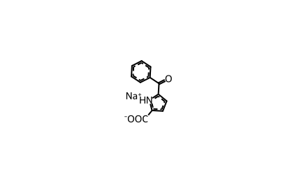 O=C([O-])c1ccc(C(=O)c2ccccc2)[nH]1.[Na+]